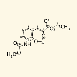 CCOC(=O)C1=Cc2cccc(NC(=O)OC)c2OCC1